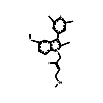 CNC/C=C(\F)Cn1c(C)c(-c2cc(C)nc(C)c2)c2cc(SC)ccc21